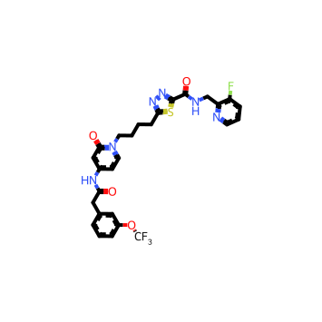 O=C(Cc1cccc(OC(F)(F)F)c1)Nc1ccn(CCCCc2nnc(C(=O)NCc3ncccc3F)s2)c(=O)c1